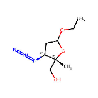 CCOC1C[C@H](N=[N+]=[N-])[C@@](C)(CO)O1